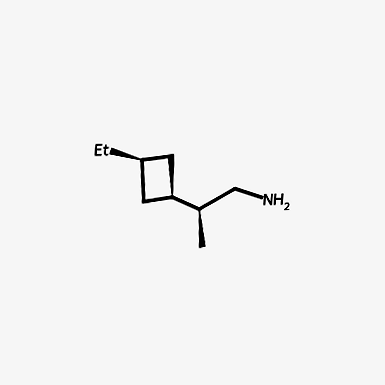 CC[C@H]1C[C@@H]([C@H](C)CN)C1